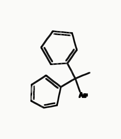 CC([As])(c1ccccc1)c1ccccc1